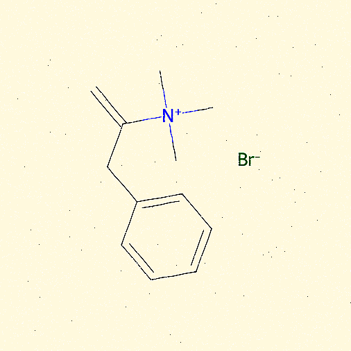 C=C(Cc1ccccc1)[N+](C)(C)C.[Br-]